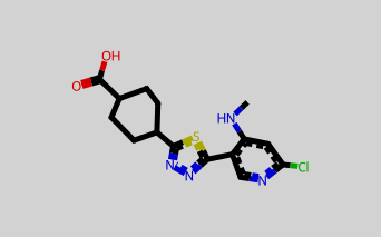 CNc1cc(Cl)ncc1-c1nnc(C2CCC(C(=O)O)CC2)s1